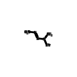 [CH2]CCN(C)N=N[N+](=O)[O-]